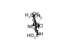 C[Si](C)(C)CCOCn1cc(C#N)c2c(OC3CC(NC(=O)O)C3)nc(Cl)nc21